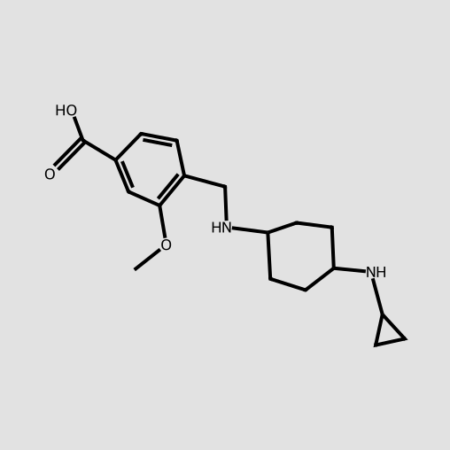 COc1cc(C(=O)O)ccc1CNC1CCC(NC2CC2)CC1